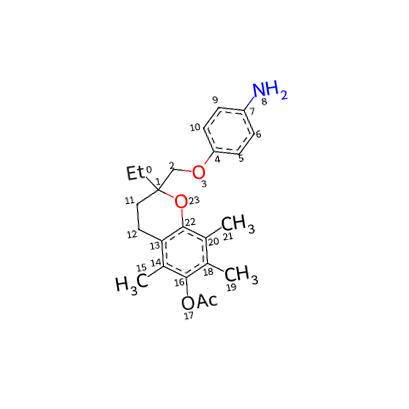 CCC1(COc2ccc(N)cc2)CCc2c(C)c(OC(C)=O)c(C)c(C)c2O1